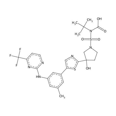 Cc1cc(Nc2nccc(C(F)(F)F)n2)cc(-c2cnc(C3(O)CCN(S(=O)(=O)N(C(=O)O)C(C)(C)C)C3)s2)c1